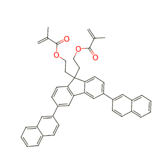 C=C(C)C(=O)OCCC1(CCOC(=O)C(=C)C)c2ccc(-c3ccc4ccccc4c3)cc2-c2cc(-c3ccc4ccccc4c3)ccc21